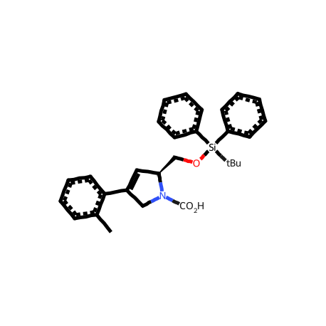 Cc1ccccc1C1=C[C@@H](CO[Si](c2ccccc2)(c2ccccc2)C(C)(C)C)N(C(=O)O)C1